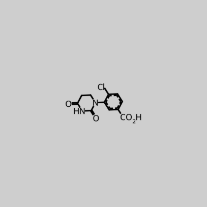 O=C1CCN(c2cc(C(=O)O)ccc2Cl)C(=O)N1